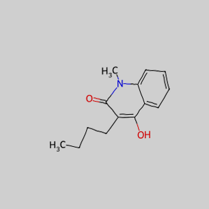 CCCCc1c(O)c2ccccc2n(C)c1=O